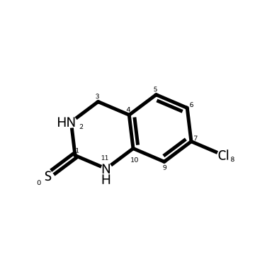 S=C1NCc2ccc(Cl)cc2N1